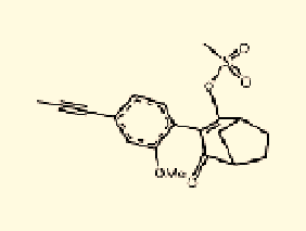 CC#Cc1ccc(C2=C(OS(C)(=O)=O)C3CCC(C3)C2=O)c(OC)c1